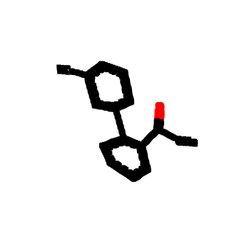 COC(=O)c1ccccc1-c1cccc(C#N)c1